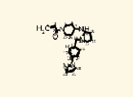 C=CC(=O)N1CCC(NC2C=CCN2Cc2ccc(-n3cccn3)cc2)CC1